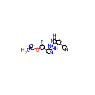 CN(C)CCOc1cc(F)cc(-c2ccnc3[nH]c(-c4n[nH]c5ccc(-c6ccncc6)cc45)nc23)c1